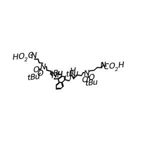 CN(CCCCN(CCCCNCc1c(C(C)(C)C)c(C(C)(C)C)c(CNCCCCN(CCCCN(C)C(=O)O)C(=O)OC(C)(C)C)c2ccccc12)C(=O)OC(C)(C)C)C(=O)O